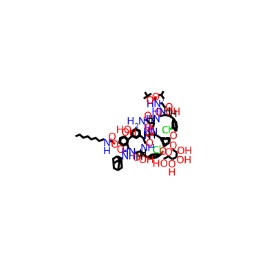 CCCCCCCCNC(=O)Oc1cc(O)c2c(c1)[C@@H](C(=O)NC1C3CC4CC(C3)CC1C4)NC(=O)[C@H]1NC(=O)[C@H](NC(=O)[C@@H]3NC(=O)[C@H](CC(N)=O)NC(=O)[C@H](NC(=O)[C@@H](CC(C)C)NC(=O)OC(C)(C)C)[C@H](O)c4ccc(c(Cl)c4)Oc4cc3cc(c4OC3OC(CO)C(O)C(O)C3O)Oc3ccc(cc3Cl)[C@H]1O)c1ccc(O)c-2c1